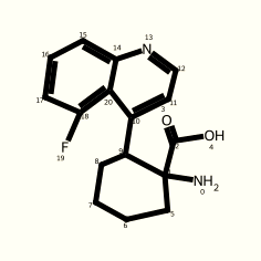 NC1(C(=O)O)CCCCC1c1ccnc2cccc(F)c12